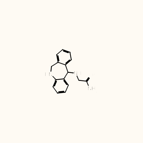 NC(=O)CNC1c2ccccc2CNc2ccccc21